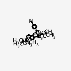 Cc1cc(C2CC2)c(C[C@@H]2CN(C(=O)OC(C)(C)C)C[C@H]2c2ccc(C#N)cc2)c2ccn(C(=O)OC(C)(C)C)c12